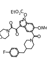 CCOC(=O)On1cc(C(=O)C(=O)N2CCOCC2)c2cc(C(=O)N3CCC(Cc4ccc(F)cc4)CC3)c(OC)cc21